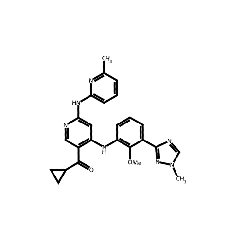 COc1c(Nc2cc(Nc3cccc(C)n3)ncc2C(=O)C2CC2)cccc1-c1ncn(C)n1